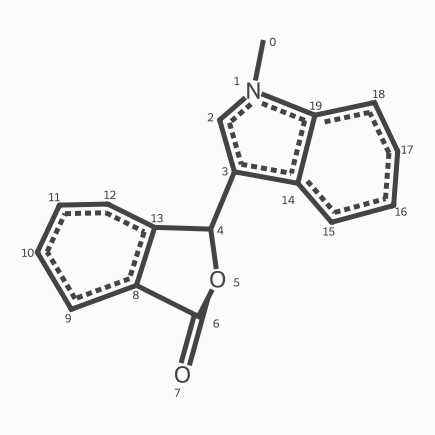 Cn1cc(C2OC(=O)c3ccccc32)c2ccccc21